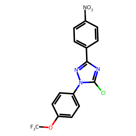 O=[N+]([O-])c1ccc(-c2nc(Cl)n(-c3ccc(OC(F)(F)F)cc3)n2)cc1